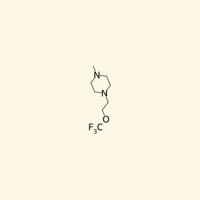 CN1CCN(CCOC(F)(F)F)CC1